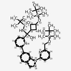 CC(C)(C)[S+]([O-])N[C@@](O)(c1cccc(-c2ccc3cnn(-c4cccc(CO[Si](C)(C)C(C)(C)C)n4)c3c2)n1)C1CC(O[Si](C)(C)C(C)(C)C)C1